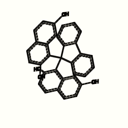 Oc1ccc2ccc(O)c(C3(c4c(O)ccc5ccc(O)cc45)c4ccccc4-c4ccccc43)c2c1